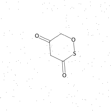 O=C1COSC(=O)C1